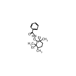 CCC1(C)CCC(C)C(C)(CC)N1ONC(=O)c1ccccc1